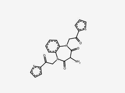 NC1C(=O)N(CC(=O)c2cccs2)c2ccccc2N(CC(=O)c2cccs2)C1=O